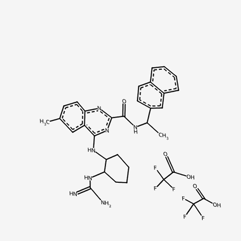 Cc1ccc2nc(C(=O)NC(C)c3ccc4ccccc4c3)nc(NC3CCCCC3NC(=N)N)c2c1.O=C(O)C(F)(F)F.O=C(O)C(F)(F)F